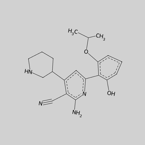 CC(C)Oc1cccc(O)c1-c1cc(C2CCCNC2)c(C#N)c(N)n1